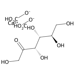 O=C(CO)[C@@H](O)[C@H](O)[C@H](O)CO.O=C([O-])O.O=C([O-])O.[Ca+2]